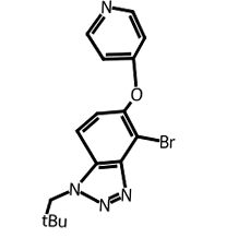 CC(C)(C)Cn1nnc2c(Br)c(Oc3ccncc3)ccc21